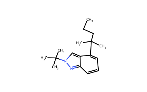 CCCC(C)(C)c1cccc2nn(C(C)(C)C)cc12